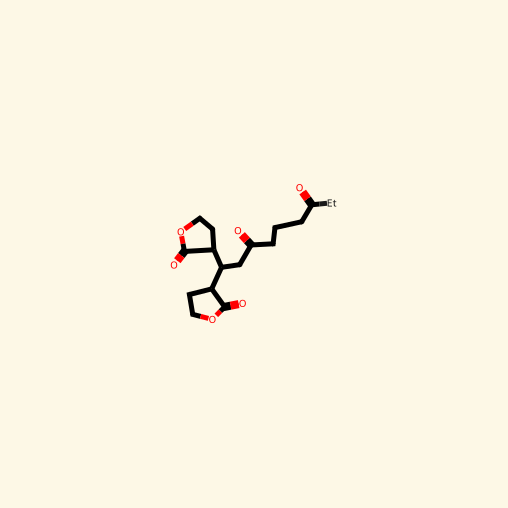 CCC(=O)CCCC(=O)CC(C1CCOC1=O)C1CCOC1=O